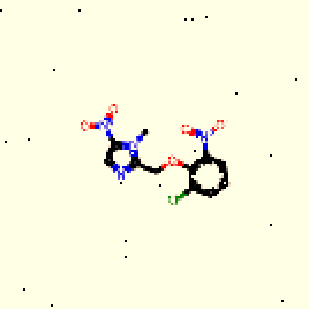 Cn1c([N+](=O)[O-])cnc1COc1c(Cl)cccc1[N+](=O)[O-]